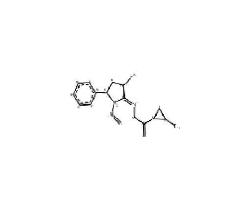 C=NN1/C(=N\CC(=C)C2CC2F)C(F)CC1c1ccccc1